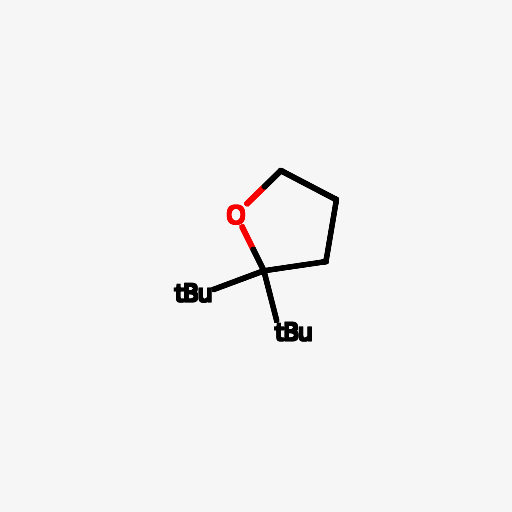 CC(C)(C)C1(C(C)(C)C)CCCO1